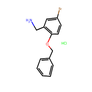 Cl.NCc1cc(Br)ccc1OCc1ccccc1